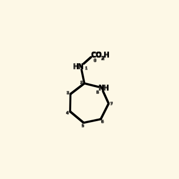 O=C(O)NC1CCCCCN1